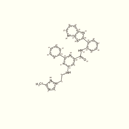 Cc1ccn(CCNc2cc(C(=O)Nc3ccccc3-c3nc4cccnc4s3)nc(-c3ccccc3)n2)n1